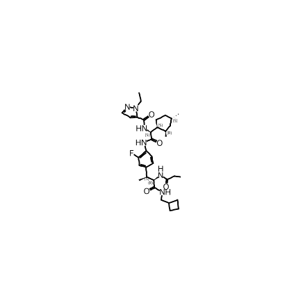 CCC(=O)N[C@@H](C(=O)NCC1CCC1)[C@@H](C)c1ccc(NC(=O)[C@@H](NC(=O)c2ccnn2CC)[C@H]2CC[C@H](C)C[C@H]2C)c(F)c1